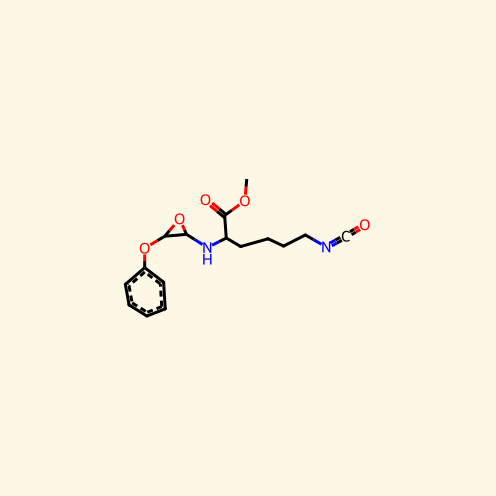 COC(=O)C(CCCCN=C=O)NC1OC1Oc1ccccc1